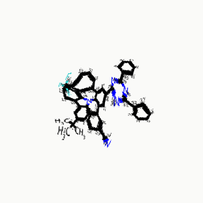 CC(C)(C)c1ccc2c(c1)c1ccccc1n2-c1c(-c2cccc(C#N)c2)cc(-c2nc(-c3ccccc3)nc(-c3ccccc3)n2)cc1-c1cccc(C(F)(F)F)c1